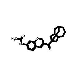 CC(=O)Nc1ccc2c(c1)OCC(C(=O)C13CC4CCCC(C1)C(C4)C3)=C2